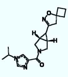 CC(C)n1cnc(C(=O)N2C[C@@H]3C(C4=NOC5(CCC5)C4)[C@@H]3C2)c1